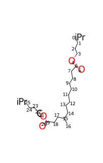 CC(C)CCCOC(=O)CCCCCCCCC(C)CCC(=O)OCCCC(C)C